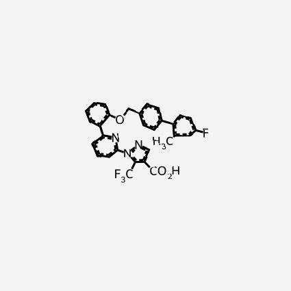 Cc1cc(F)ccc1-c1ccc(COc2ccccc2-c2cccc(-n3ncc(C(=O)O)c3C(F)(F)F)n2)cc1